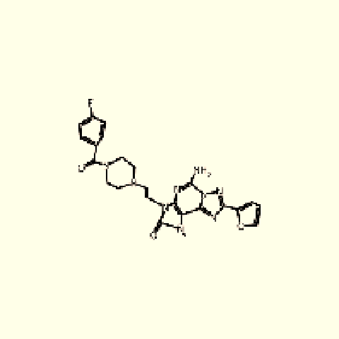 Cn1c(=O)n(CCN2CCN(C(=O)c3ccc(F)cc3)CC2)c2nc(N)n3nc(-c4ccco4)nc3c21